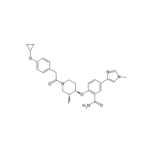 Cn1cnc(-c2ccc(O[C@@H]3CCN(C(=O)Cc4ccc(OC5CC5)cc4)C[C@@H]3F)c(C(N)=O)c2)c1